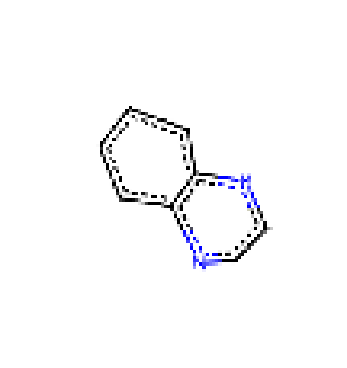 [c]1[c]nc2ccccc2n1